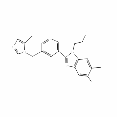 FCCn1c(-c2cncc(Cn3cncc3I)c2)nc2cc(F)c(Cl)cc21